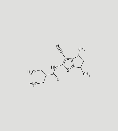 CCC(CC)C(=O)Nc1sc2c(c1C#N)C(C)CC2C